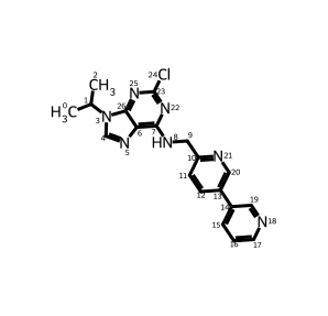 CC(C)n1cnc2c(NCc3ccc(-c4cccnc4)cn3)nc(Cl)nc21